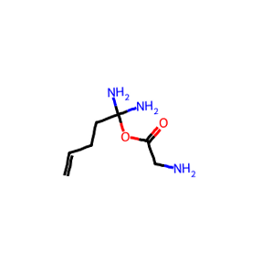 C=CCCC(N)(N)OC(=O)CN